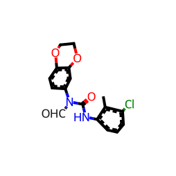 Cc1c(Cl)cccc1NC(=O)N(C=O)c1ccc2c(c1)OCCO2